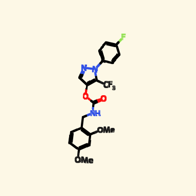 COc1ccc(CNC(=O)Oc2cnn(-c3ccc(F)cc3)c2C(F)(F)F)c(OC)c1